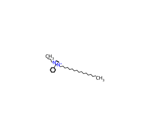 CCCCCCCCCCCCCCCCC[n+]1ccn(CCCC)c1-c1ccccc1